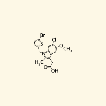 COc1cc2c(CC(=O)O)c(C)n(Cc3ccc(Br)s3)c2cc1Cl